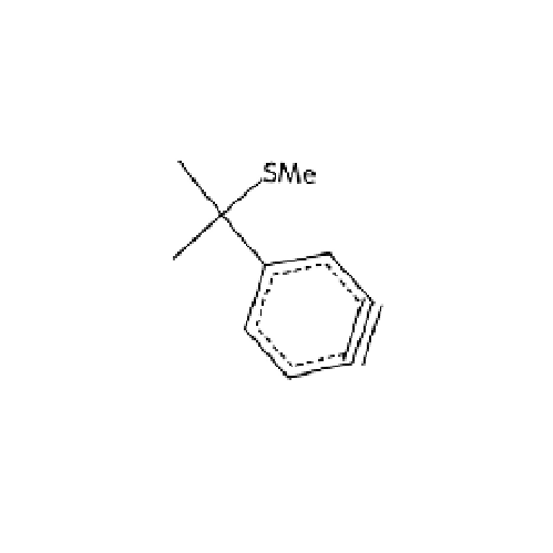 CSC(C)(C)c1cc#ccc1